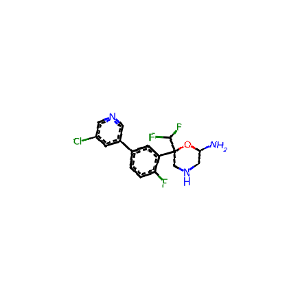 NC1CNCC(c2cc(-c3cncc(Cl)c3)ccc2F)(C(F)F)O1